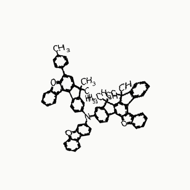 Cc1ccc(-c2cc3c(c4c2oc2ccccc24)-c2ccc(N(c4ccc5c(c4)C(C)(C)c4c6c(c7c(oc8ccccc87)c4-5)-c4ccccc4C6(C)C)c4ccc5c(c4)oc4ccccc45)cc2C3(C)C)cc1